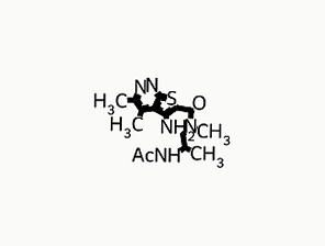 CC(=O)NC(C)CN(C)C(=O)c1sc2nnc(C)c(C)c2c1N